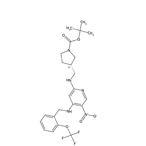 CC(C)(C)OC(=O)N1CC[C@@H](CNc2cc(NCc3ccccc3OC(F)(F)F)c([N+](=O)[O-])cn2)C1